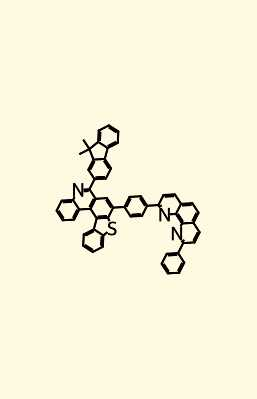 CC1(C)c2ccccc2-c2ccc(-c3nc4ccccc4c4c3cc(-c3ccc(-c5ccc6ccc7ccc(-c8ccccc8)nc7c6n5)cc3)c3sc5ccccc5c34)cc21